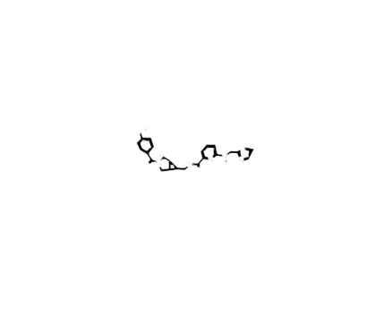 CN(Cc1ncc[nH]1)c1cc[c]c(C(=O)NCC2C3CN(C(=O)c4ccc(C(C)(C)C)cc4)CC23)n1